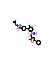 Cc1ccc(NC(=O)c2cc(-c3ccccc3)oc2C)cc1-c1ccc(C(=O)NCC2CC2)cc1